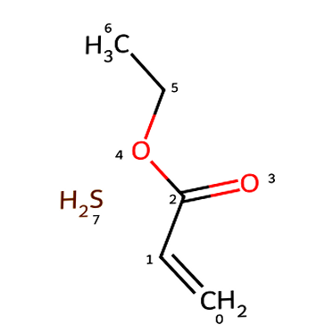 C=CC(=O)OCC.S